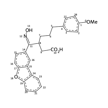 COc1ccc(CCCC(CC(=O)O)C(=NO)c2ccc3oc4ccccc4c3c2)cc1